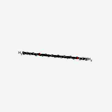 COCCOCCOCCOCCOCCOCCOCCOCCOCCOCCOCCOCCOCCOCCOCCOCCOCCOCCOCCOCCOC